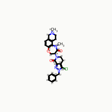 CN1CCc2c(ccc3c2N(C)C(=O)[C@@H](N2CCc4c(nn(Cc5ccccc5)c4Cl)C2=O)CO3)C1